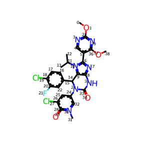 COc1ncc(-c2nc3c(n2C(C)C)C(c2ccc(Cl)c(F)c2)N(c2cc(Cl)c(=O)n(C)c2)C(=O)N3)c(OC)n1